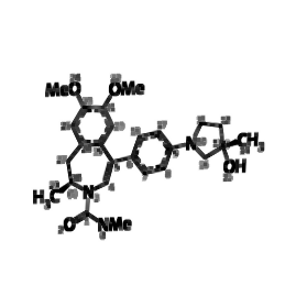 CNC(=O)N1C=C(c2ccc(N3CC[C@](C)(O)C3)cc2)c2cc(OC)c(OC)cc2C[C@@H]1C